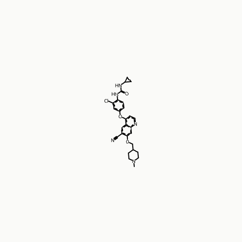 CN1CCC(COc2cc3nccc(Oc4ccc(NC(=O)NC5CC5)c(Cl)c4)c3cc2C#N)CC1